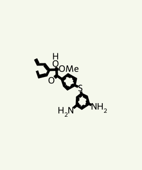 C=C/C=C(\C=C/C)C(O)(OC)C(=O)c1ccc(Sc2cc(N)cc(N)c2)cc1